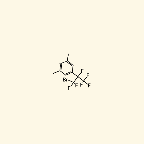 Cc1[c]c(C)cc(C(F)(C(F)(F)F)C(F)(F)Br)c1